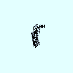 O=C(NO)C(F)(F)OC(F)(F)C(F)(F)C(F)(F)C(F)(F)C(F)(F)C(F)(F)F